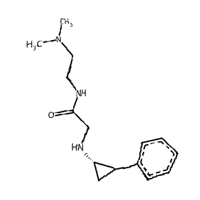 CN(C)CCNC(=O)CN[C@H]1CC1c1ccccc1